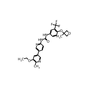 CCOc1cc(-c2ccc(NC(=O)Nc3ccc(OC4(C)COC4)c(C(F)(F)F)c3)nc2)cnc1C